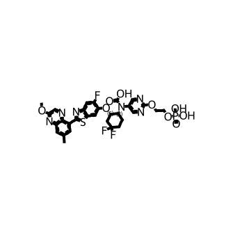 COc1cnc2c(-c3nc4cc(F)c(O[C@H]5CC(F)(F)CC[C@H]5N(C(=O)O)c5cnc(OCCOP(=O)(O)O)nc5)cc4s3)cc(C)cc2n1